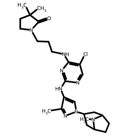 Cc1nn(C2CC3CCC(C2)N3C)cc1Nc1ncc(Cl)c(NCCCN2CCC(C)(C)C2=O)n1